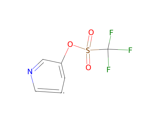 O=S(=O)(Oc1c[c]cnc1)C(F)(F)F